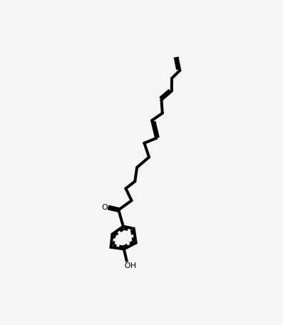 C=CCC=CCC=CCCCCCCC(=O)c1ccc(O)cc1